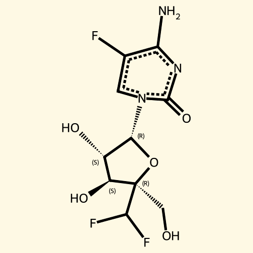 Nc1nc(=O)n([C@@H]2O[C@@](CO)(C(F)F)[C@@H](O)[C@@H]2O)cc1F